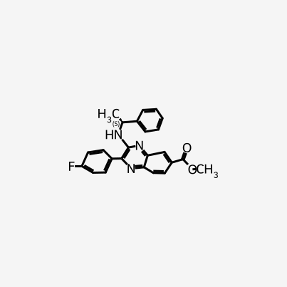 COC(=O)c1ccc2nc(-c3ccc(F)cc3)c(N[C@@H](C)c3ccccc3)nc2c1